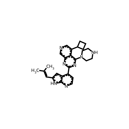 CC(C)=Cc1cc2c(-c3nc(N4CCNCC4)c4c(C5CCC5)cncc4n3)ccnc2[nH]1